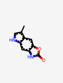 Cc1c[nH]c2cc3[nH]c(=O)oc3cc12